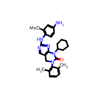 COc1cc(N)ccc1Nc1ncc2c(n1)N(C1CCCCC1)C(=O)N(c1c(C)cccc1C)C2